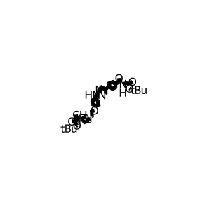 CN(C(=O)OC(C)(C)C)C1CCN(CCOc2ccc(Nc3ncc(-c4ccc(C(=O)NCC(=O)OC(C)(C)C)cc4)cn3)cc2)C1